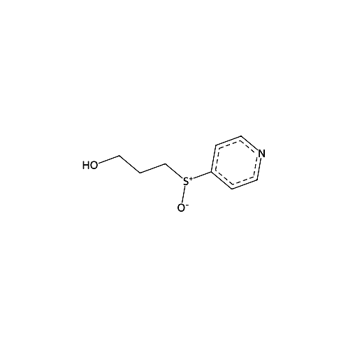 [O-][S+](CCCO)c1ccncc1